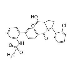 CS(=O)(=O)Nc1ccccc1-c1ccc(C(=O)N2C(c3ccccc3Cl)CC[C@H]2C(=O)O)cc1